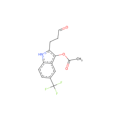 CC(=O)Oc1c(CCC=O)[nH]c2ccc(C(F)(F)F)cc12